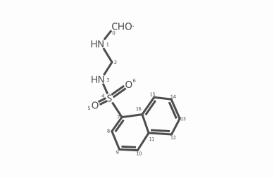 O=[C]NCNS(=O)(=O)c1cccc2ccccc12